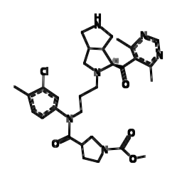 COC(=O)N1CCC(C(=O)N(CCCN2CC3CNCC3[C@H]2C(=O)c2c(C)ncnc2C)c2ccc(C)c(Cl)c2)C1